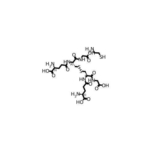 NCCS.N[C@@H](CCC(=O)N[C@@H](CSSC[C@H](NC(=O)CC[C@H](N)C(=O)O)C(=O)NCC(=O)O)C(=O)NCC(=O)O)C(=O)O